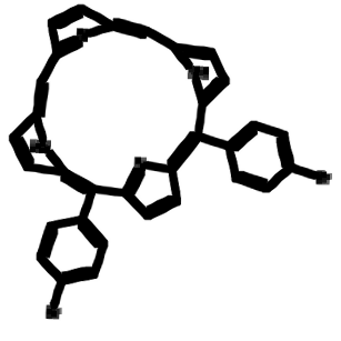 Brc1ccc(-c2c3nc(c(-c4ccc(Br)cc4)c4ccc(cc5nc(cc6ccc2[nH]6)C=C5)[nH]4)C=C3)cc1